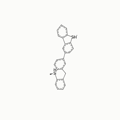 C[Si@@H]1c2ccccc2Cc2cc(-c3ccc4c(c3)-c3ccccc3[Si@@H]4C)ccc21